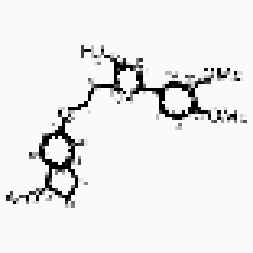 COc1ccc(-c2nc(CCOc3ccc4c(c3)CCC4OC(C)=O)c(C)s2)cc1OC